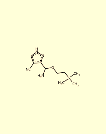 C[Si](C)(C)CCOC(N)c1n[nH]cc1C#N